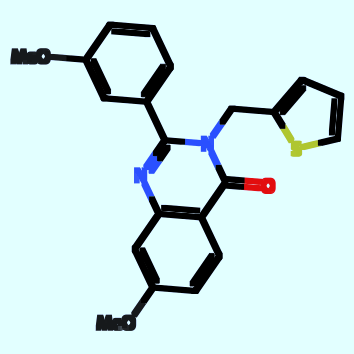 COc1cccc(-c2nc3cc(OC)ccc3c(=O)n2Cc2cccs2)c1